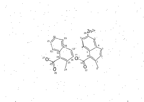 Cc1ccc2ccccc2c1C(=O)[O-].Cc1ccc2ccccc2c1C(=O)[O-].[Zn+2]